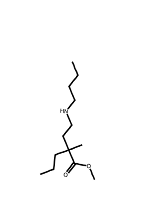 CCCCNCCC(C)(CCC)C(=O)OC